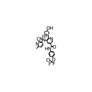 Cc1ccc(Nc2cc(C(=O)Nc3ccc(OC(F)(F)Cl)cc3)cnc2N2CC[C@@H](O)C2)c(C#N)n1